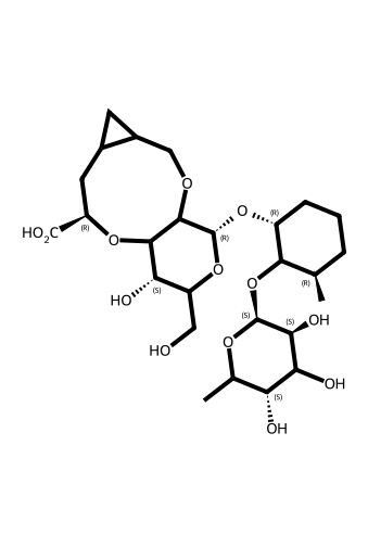 CC1O[C@@H](OC2[C@H](C)CCC[C@H]2O[C@@H]2OC(CO)[C@H](O)C3O[C@@H](C(=O)O)CC4CC4COC32)[C@@H](O)C(O)[C@@H]1O